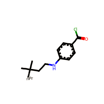 CCCC(C)(C)CCNc1ccc(C(=O)Cl)cc1